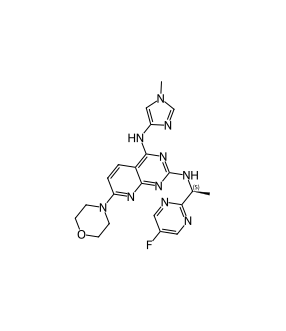 C[C@H](Nc1nc(Nc2cn(C)cn2)c2ccc(N3CCOCC3)nc2n1)c1ncc(F)cn1